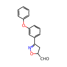 O=CC1CC(c2cccc(Oc3ccccc3)c2)=NO1